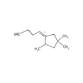 CC1CC(C)(C)C/C1=C/CCC=O